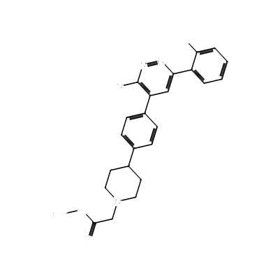 CC(C)(C)OC(=O)CN1CCC(c2ccc(-c3cc(-c4ccccc4O)nnc3N)cc2)CC1